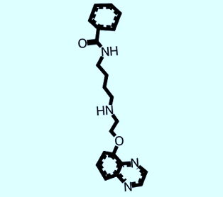 O=C(NCCCCNCCOc1cccc2nccnc12)c1ccccc1